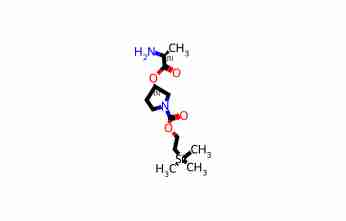 C[C@H](N)C(=O)O[C@H]1CCN(C(=O)OCC[Si](C)(C)C)C1